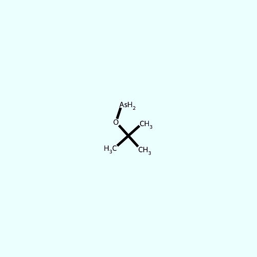 CC(C)(C)O[AsH2]